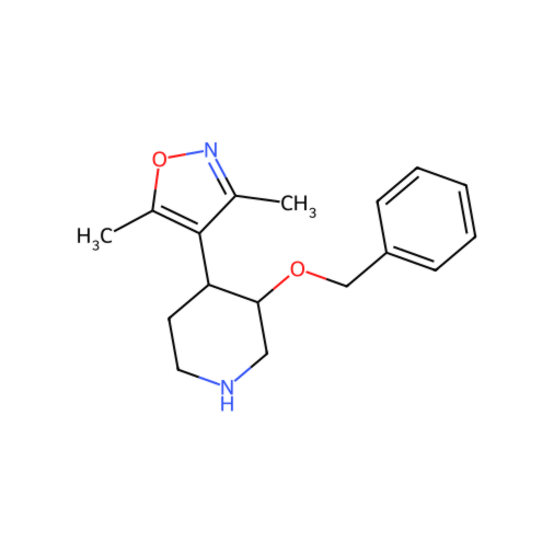 Cc1noc(C)c1C1CCNCC1OCc1ccccc1